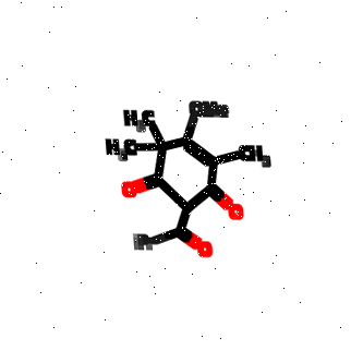 COC1=C(C)C(=O)C(C(=O)C(C)C)C(=O)C1(C)C